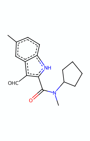 Cc1ccc2[nH]c(C(=O)N(C)C3CCCC3)c(C=O)c2c1